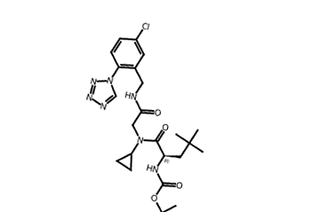 CC(C)(C)C[C@@H](NC(=O)OC(C)(C)C)C(=O)N(CC(=O)NCc1cc(Cl)ccc1-n1cnnn1)C1CC1